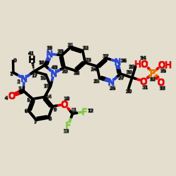 CCN1C(=O)c2cccc(OC(F)F)c2C2C[C@@H]1c1nc3ccc(-c4cnc(C(C)(C)OP(=O)(O)O)nc4)cc3n12